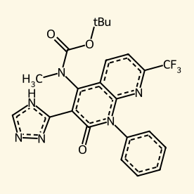 CN(C(=O)OC(C)(C)C)c1c(-c2nnc[nH]2)c(=O)n(-c2ccccc2)c2nc(C(F)(F)F)ccc12